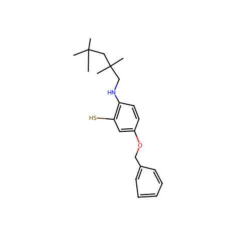 CC(C)(C)CC(C)(C)CNc1ccc(OCc2ccccc2)cc1S